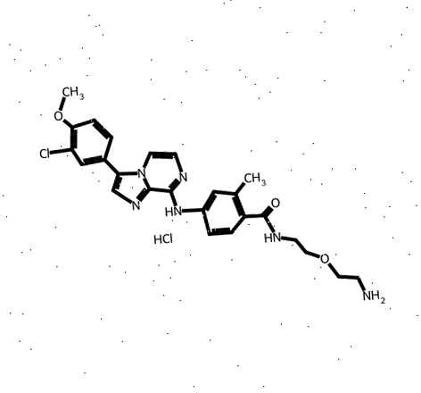 COc1ccc(-c2cnc3c(Nc4ccc(C(=O)NCCOCCN)c(C)c4)nccn23)cc1Cl.Cl